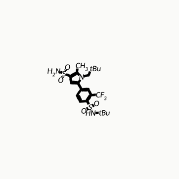 Cc1c(S(N)(=O)=O)cc(-c2ccc(S(=O)(=O)NC(C)(C)C)c(C(F)(F)F)c2)n1CC(C)(C)C